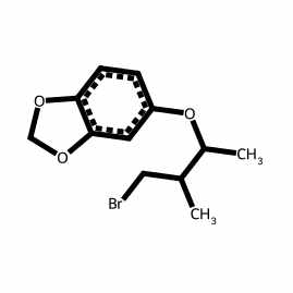 CC(CBr)C(C)Oc1ccc2c(c1)OCO2